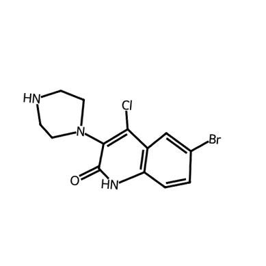 O=c1[nH]c2ccc(Br)cc2c(Cl)c1N1CCNCC1